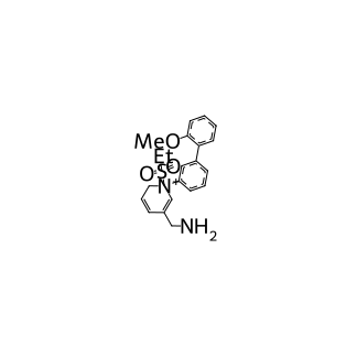 CCS(=O)(=O)[N+]1(c2cccc(-c3ccccc3OC)c2)C=C(CN)C=CC1